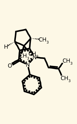 CC(C)=CCn1c2c(c(=O)n1-c1ccccc1)[C@H]1CC[C@]2(C)C1(C)C